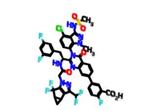 Cn1nc(NS(C)(=O)=O)c2c(Cl)ccc(-n3c([C@H](Cc4cc(F)cc(F)c4)NC(=O)Cn4nc(C(F)F)c5c4C(F)(F)C4CC54)nc4cc(-c5ccc(F)c(C(=O)O)c5)ccc4c3=O)c21